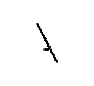 CCCCCCCCCCCCCCCCCCN(O)CCCCCCCCCC